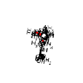 COCO/N=C1\[C@H](C)C[C@@](C)(O)[C@H](O[C@@H]2O[C@H](C)C[C@H](N(C)C)[C@H]2O)[C@@H](C)[C@H](O[C@H]2C[C@@H](OC)[C@@H](OC(=O)CCNCCCc3cc4c5c(c3)c(=O)c(C(=O)O)cn5N(C)CO4)[C@H](C)O2)[C@@H](C)C(=O)O[C@@H]2CC[C@]2(O)[C@@H]1O